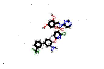 COc1ccc(CN(c2ccncn2)S(=O)(=O)c2ccc(O[C@H]3CC[C@H](c4cccc(C(F)(F)F)c4)C[C@@H]3N(C)C)nc2Cl)c(OC)c1